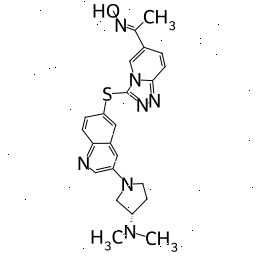 CC(=NO)c1ccc2nnc(Sc3ccc4ncc(N5CC[C@H](N(C)C)C5)cc4c3)n2c1